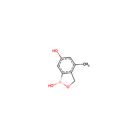 Cc1cc(O)cc2c1COB2O